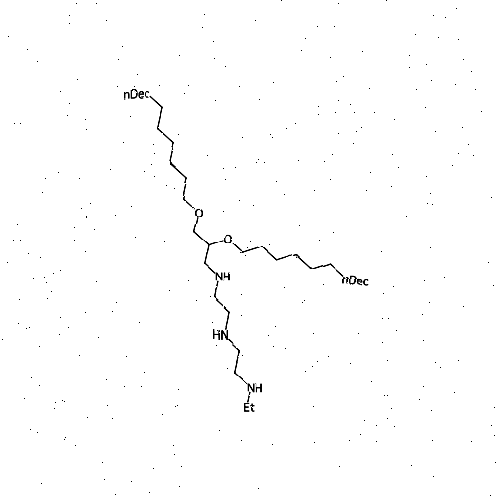 CCCCCCCCCCCCCCCCOCC(CNCCNCCNCC)OCCCCCCCCCCCCCCCC